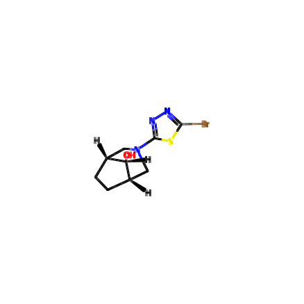 O[C@H]1[C@@H]2CC[C@H]1CN(c1nnc(Br)s1)C2